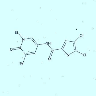 CCn1cc(NC(=O)c2cc(Cl)c(Cl)s2)cc(C(C)C)c1=O